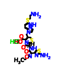 CCO/N=C(\C(=O)N[C@@H]1C(=O)N2C(C(=O)O)=C(CN3C=CN4NC(SCCN)=CC=C34)CS[C@@H]12)c1csc(N)n1.Cl